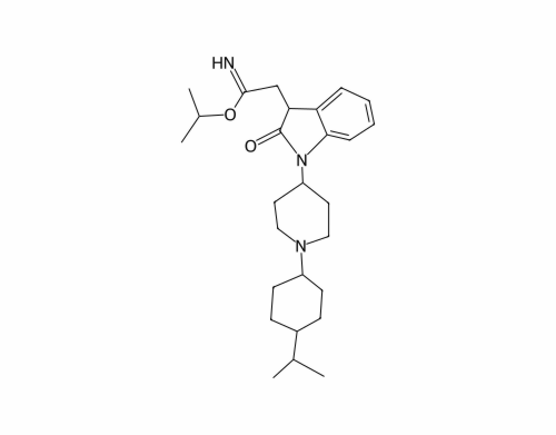 CC(C)OC(=N)CC1C(=O)N(C2CCN(C3CCC(C(C)C)CC3)CC2)c2ccccc21